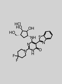 Cl.O=c1[nH]c(N2CCC(F)(F)CC2)nc(N[C@@H]2C[C@H](CO)[C@@H](O)[C@H]2O)c1-c1nc2ccccc2s1